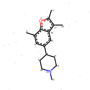 Cc1oc2c(C)cc(C3CCN(C)CC3)cc2c1C